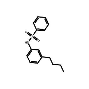 CCCCc1cccc(NS(=O)(=O)c2ccccc2)c1